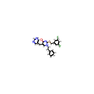 O=c1nc(SCc2cc(F)cc(F)c2)n(CCc2ccccc2)cc1Cc1cncnc1